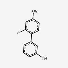 Oc1cccc(-c2[c]cc(O)cc2F)c1